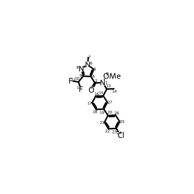 CON(C(=O)c1cn(C)nc1C(F)F)C(C)c1cccc(-c2ccc(Cl)cc2)c1